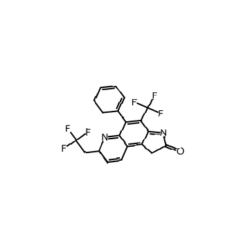 O=C1Cc2c3c(c(C4=CC=CCC4)c(C(F)(F)F)c2=N1)=NC(CC(F)(F)F)C=C3